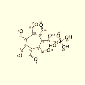 O=CC1C(C=O)C(C=O)C(C=O)C(C=O)C(C=O)C1C=O.O=P(O)(O)O